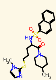 CC1CCN(C(=O)C(CCCSc2nccn2C)NS(=O)(=O)c2ccc3ccccc3c2)CC1